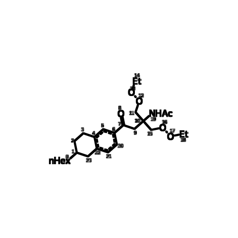 CCCCCCC1CCc2cc(C(=O)CC(COOCC)(COOCC)NC(C)=O)ccc2C1